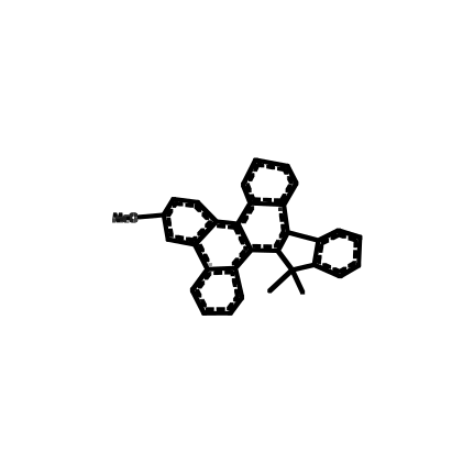 COc1ccc2c(c1)c1ccccc1c1c3c(c4ccccc4c21)-c1ccccc1C3(C)C